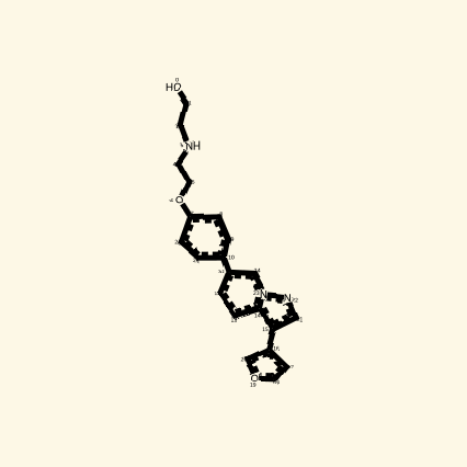 OCCNCCOc1ccc(-c2ccc3c(-c4ccoc4)cnn3c2)cc1